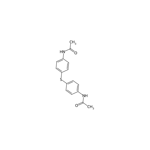 CC(=O)Nc1ccc(Sc2ccc(NC(C)=O)cc2)cc1